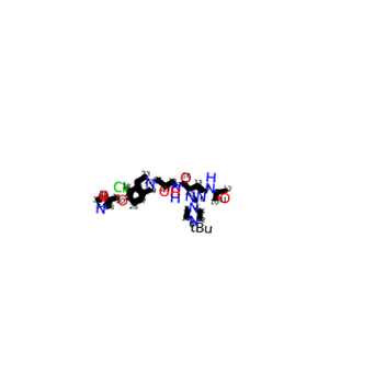 CC(C)(C)N1CCN(c2nc(NC3COC3)cc(C(=O)NC[C@H](O)CN3CCc4c(ccc(OCc5cnco5)c4Cl)C3)n2)CC1